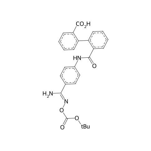 CC(C)(C)OC(=O)ON=C(N)c1ccc(NC(=O)c2ccccc2-c2ccccc2C(=O)O)cc1